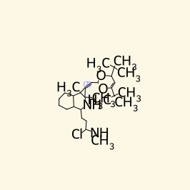 CNC(Cl)CCC1NC2(C)/C(=C\C3OC(C(C)(C)C)=CC(C(C)(C)C)O3)C2(C)C2CCCCC12